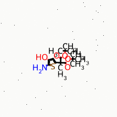 CC(C)(C)OC(=O)C(C)(C(=O)OC(C)(C)C)c1cc(O)c(N)s1